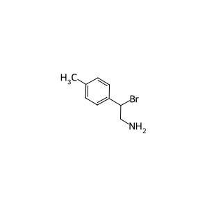 Cc1ccc(C(Br)CN)cc1